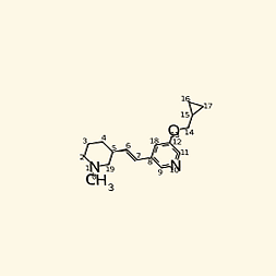 CN1CCC[C@@H](C=Cc2cncc(OCC3CC3)c2)C1